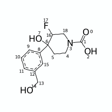 O=C(O)N1CCC(O)(c2cccc(CO)c2)C(F)C1